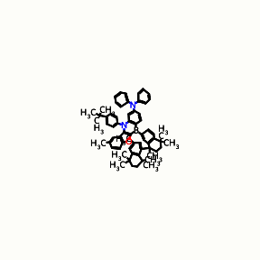 Cc1cc2c(c(C3(C)CCC(C)(C)c4ccc(B5c6ccc(N(c7ccccc7)c7ccccc7)cc6N(c6ccc(C(C)(C)C)cc6)c6c5oc5ccc(C)cc65)cc43)c1)C(C)(C)CCC2(C)C